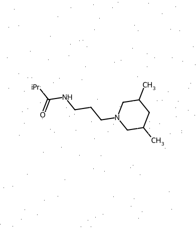 CC1CC(C)CN(CCCNC(=O)C(C)C)C1